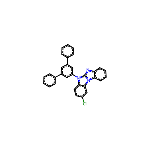 Clc1ccc2c(c1)n1c3ccccc3nc1n2-c1cc(-c2ccccc2)cc(-c2ccccc2)c1